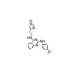 COc1ccc(Nc2nc(NCCc3c[nH]cn3)c3ccccc3n2)cc1